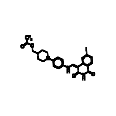 O=C1NC(=O)c2ccc(I)cc2/C1=C/Nc1ccc(N2CCC(COC(=O)C(F)(F)F)CC2)cc1